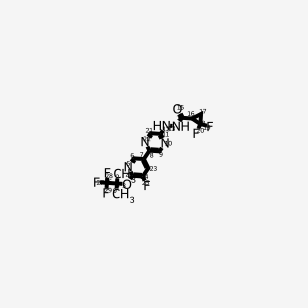 CC(C)(Oc1ncc(-c2cnc(NNC(=O)C3CC3(F)F)cn2)cc1F)C(F)(F)F